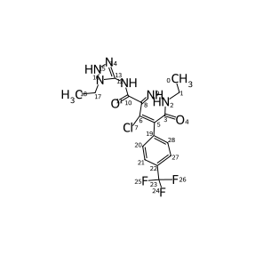 CCNC(=O)/C(=C(/Cl)C(=N)C(=O)Nc1n[nH]n1CC)c1ccc(C(F)(F)F)cc1